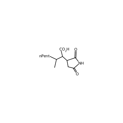 CCCCCC(C)C(C(=O)O)C1CC(=O)NC1=O